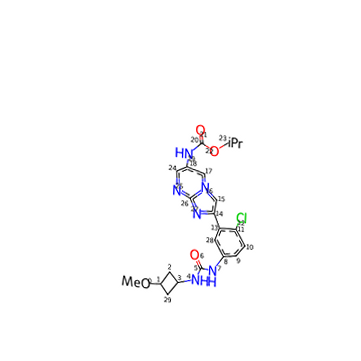 COC1CC(NC(=O)Nc2ccc(Cl)c(-c3cn4cc(NC(=O)OC(C)C)cnc4n3)c2)C1